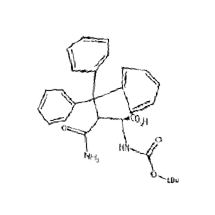 CC(C)(C)OC(=O)N[C@H](C(=O)O)C(C(N)=O)C(c1ccccc1)(c1ccccc1)c1ccccc1